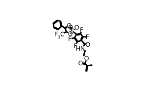 C=C(C)C(=O)OCCNC(=O)c1c(F)c(F)c(S(=O)(=O)OC(C(=O)c2ccccc2)C(F)(F)F)c(F)c1F